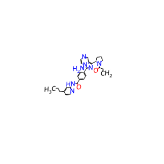 C=CC(=O)N1CCCC1C1=C2C=NC=C[N+]2(N)C(c2ccc(C(=O)Nc3cc(CCC)ccn3)cc2)=N1